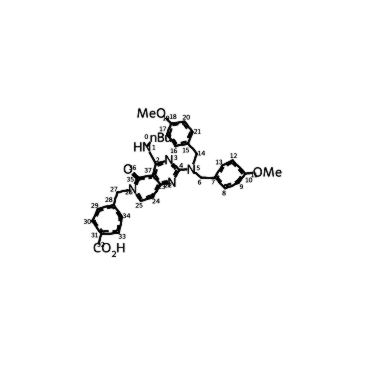 CCCCNc1nc(N(Cc2ccc(OC)cc2)Cc2ccc(OC)cc2)nc2ccn(Cc3ccc(C(=O)O)cc3)c(=O)c12